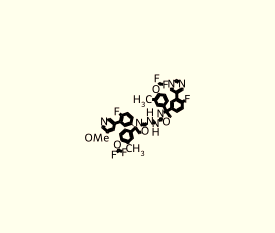 COc1cncc(-c2cc([C@@]3(c4ccc(OC(F)F)c(C)c4)COC(NNC4=NC(c5ccc(OC(F)F)c(C)c5)(c5ccc(F)c(-c6cncnc6)c5)CO4)=N3)ccc2F)c1